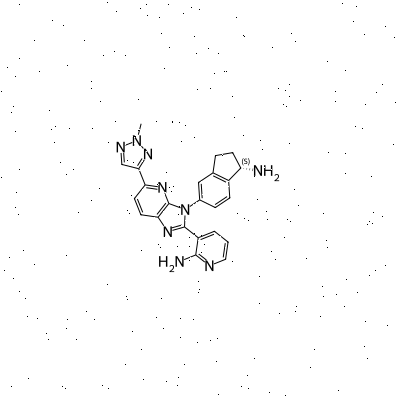 Cn1ncc(-c2ccc3nc(-c4cccnc4N)n(-c4ccc5c(c4)CC[C@@H]5N)c3n2)n1